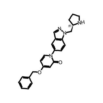 O=c1cc(OCc2ccccc2)ccn1-c1ccc2c(cnn2C[C@H]2CCCN2)c1